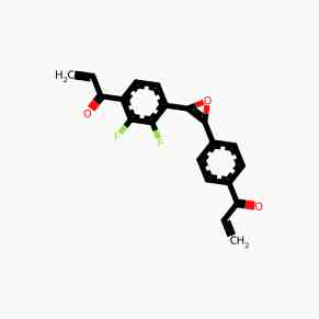 C=CC(=O)c1ccc(C2=C(c3ccc(C(=O)C=C)c(F)c3F)O2)cc1